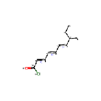 CCC(C)/C=C/C=C/C=C/C(=O)Cl